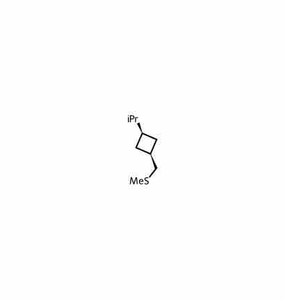 CSC[C@H]1C[C@@H](C(C)C)C1